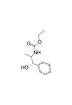 CCOC(=O)NC(C)[C@@H](O)c1ccccc1